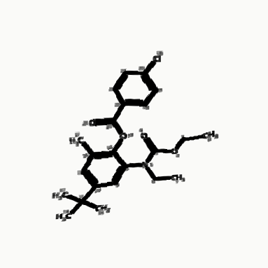 CCOC(=O)N(CC)c1cc(C(C)(C)C)cc(C)c1OC(=O)c1ccc(Cl)cc1